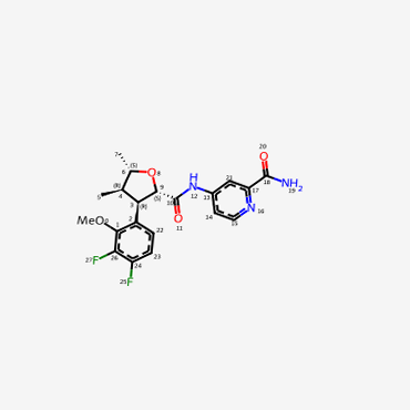 COc1c([C@H]2[C@@H](C)[C@H](C)O[C@@H]2C(=O)Nc2ccnc(C(N)=O)c2)ccc(F)c1F